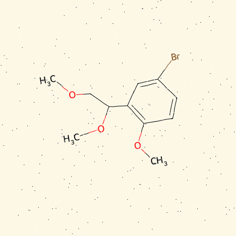 COCC(OC)c1cc(Br)ccc1OC